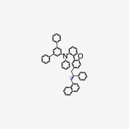 C(=C(\Cc1ccc2oc3cccc(N(c4ccccc4)c4cc(-c5ccccc5)cc(-c5ccccc5)c4)c3c2c1)c1ccccc1)/c1cccc2ccccc12